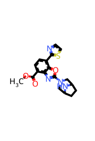 COC(=O)c1ccc(-c2nccs2)c2oc(N3CC4CCC(C3)N4)nc12